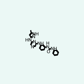 Cc1cc(Nc2cncc(Nc3cccc(NC(=O)Nc4ccccc4)c3)n2)n[nH]1